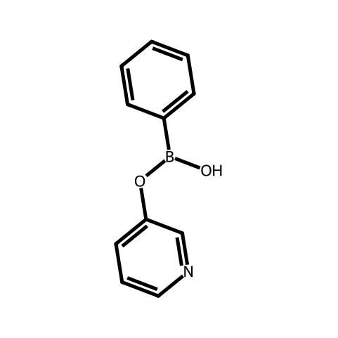 OB(Oc1cccnc1)c1ccccc1